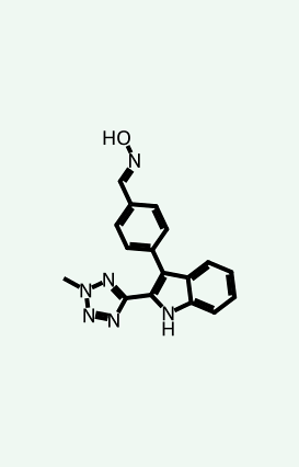 Cn1nnc(-c2[nH]c3ccccc3c2-c2ccc(C=NO)cc2)n1